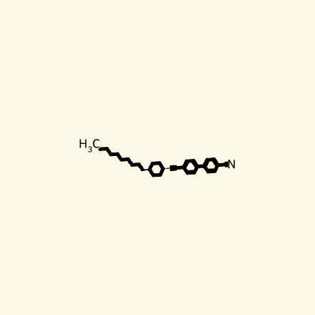 CCCCCCCCCC[C@H]1CC[C@H](C#Cc2ccc(-c3ccc(C#N)cc3)cc2)CC1